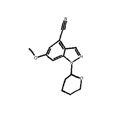 COc1cc(C#N)c2cnn(C3CCCCO3)c2c1